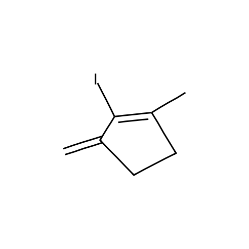 C=C1CCC(C)=C1I